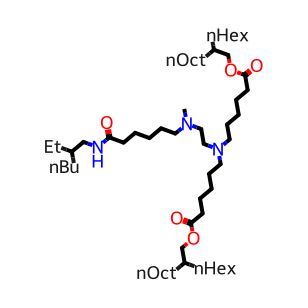 CCCCCCCCC(CCCCCC)COC(=O)CCCCCN(CCCCCC(=O)OCC(CCCCCC)CCCCCCCC)CCN(C)CCCCCC(=O)NCC(CC)CCCC